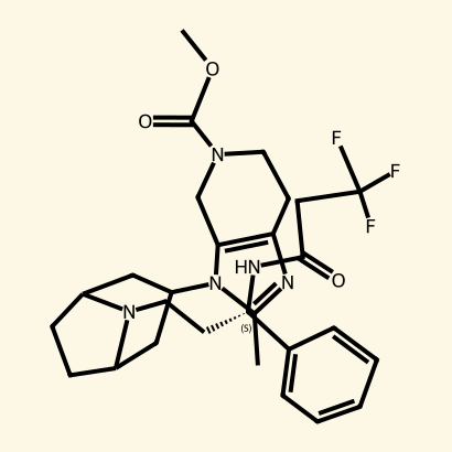 COC(=O)N1CCc2nc(C)n(C3CC4CCC(C3)N4CC[C@H](NC(=O)CC(F)(F)F)c3ccccc3)c2C1